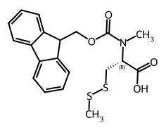 CSSC[C@@H](C(=O)O)N(C)C(=O)OCC1c2ccccc2-c2ccccc21